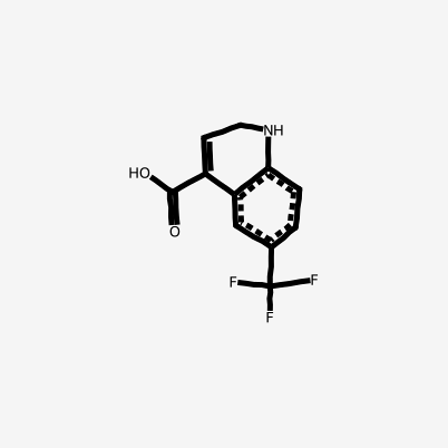 O=C(O)C1=CCNc2ccc(C(F)(F)F)cc21